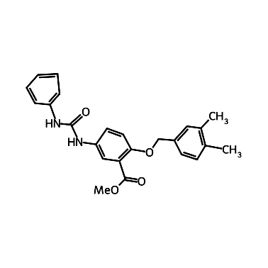 COC(=O)c1cc(NC(=O)Nc2ccccc2)ccc1OCc1ccc(C)c(C)c1